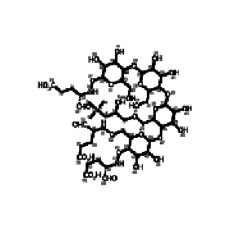 C[N+](C)(C)CC(O)COCC1OC(OC2C(CO)OC(OC3C(CO)OC(ON[C@H](C=O)CCC(=O)O)C(O)C3O)C(O)C2O)C(O)C(O)C1OC1OC(CON[C@H](C=O)CCC(=O)O)C(ON[C@H](C=O)CCC(=O)O)C(O)C1O